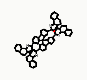 c1ccc2c(c1)ccc1ccc(-c3ccc4c(c3)C3(c5cc(-c6ccc7ccc8ccccc8c7n6)ccc5-4)c4cc(-c5ccc6ccc7ccccc7c6n5)ccc4-c4ccc(-c5ccc6ccc7ccccc7c6n5)cc43)nc12